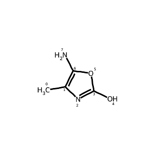 Cc1nc(O)oc1N